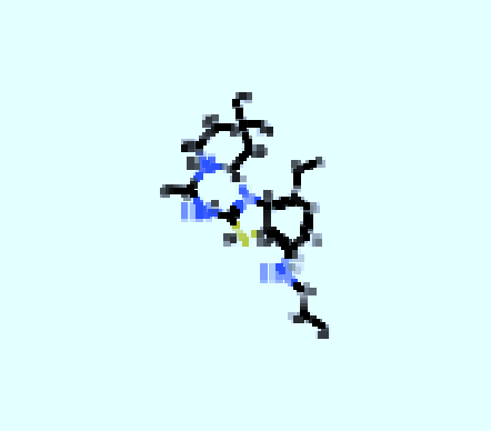 C=C(Nc1nc2c(CC)ccc(NCCC)c2s1)N1CCC(C)(C)CC1